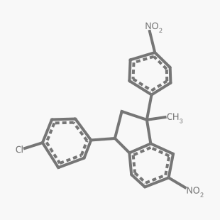 CC1(c2ccc([N+](=O)[O-])cc2)CC(c2ccc(Cl)cc2)c2ccc([N+](=O)[O-])cc21